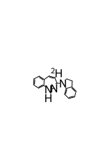 [2H]C1=Cc2ccccc2NN=C1N1CCc2ccccc21